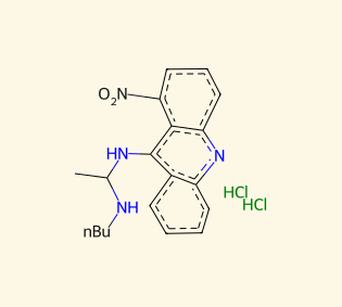 CCCCNC(C)Nc1c2ccccc2nc2cccc([N+](=O)[O-])c12.Cl.Cl